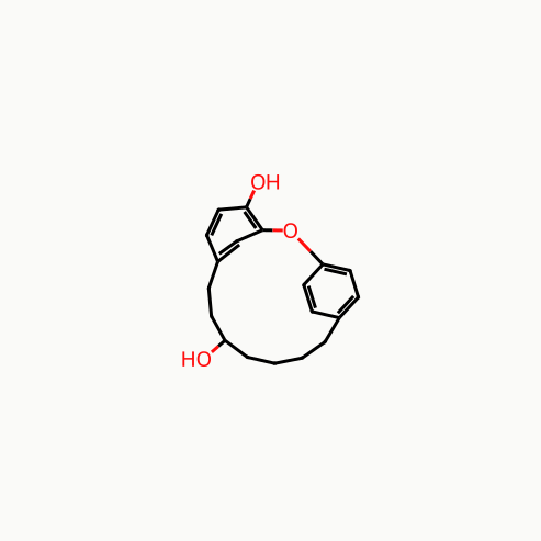 Oc1ccc2cc1Oc1ccc(cc1)CCCCC(O)CC2